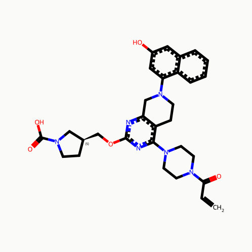 C=CC(=O)N1CCN(c2nc(OC[C@H]3CCN(C(=O)O)C3)nc3c2CCN(c2cc(O)cc4ccccc24)C3)CC1